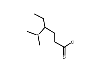 CCC(CCC(=O)Cl)N(C)C